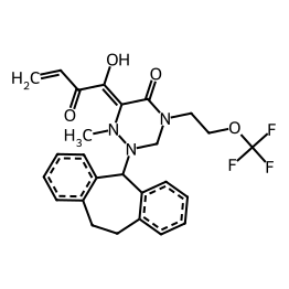 C=CC(=O)/C(O)=C1/C(=O)N(CCOC(F)(F)F)CN(C2c3ccccc3CCc3ccccc32)N1C